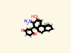 Nc1c(O)cc2c(ccc3ccccc32)c1C1=CC(=O)C=CC1=O